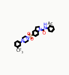 CC(=O)c1ccccc1NC(=O)N1CCc2cc(S(=O)(=O)N3CCN(c4cccc(C(F)(F)F)c4)CC3)ccc21